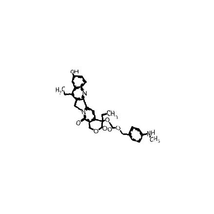 CCc1c2c(nc3ccc(O)cc13)-c1cc3c(c(=O)n1C2)COC(=O)C3(CC)OC(=O)OCc1ccc(NC)cc1